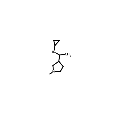 CC(NC1CC1)C1CCN(I)C1